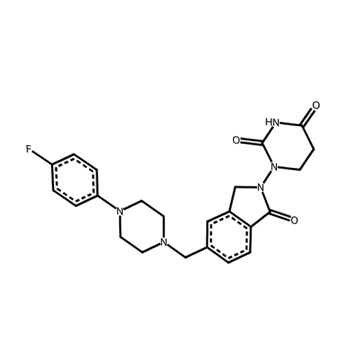 O=C1CCN(N2Cc3cc(CN4CCN(c5ccc(F)cc5)CC4)ccc3C2=O)C(=O)N1